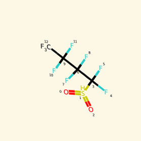 O=[SH](=O)C(F)(F)C(F)(F)C(F)(F)C(F)(F)F